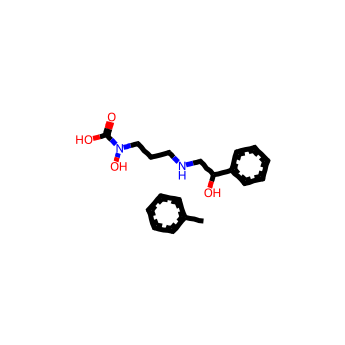 Cc1ccccc1.O=C(O)N(O)CCCNCC(O)c1ccccc1